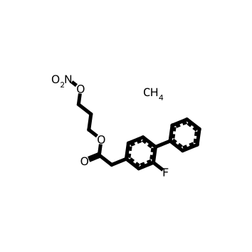 C.O=C(Cc1ccc(-c2ccccc2)c(F)c1)OCCCO[N+](=O)[O-]